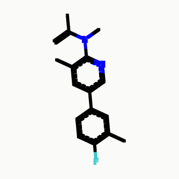 C=C(C)N(C)c1ncc(-c2ccc(F)c(C)c2)cc1C